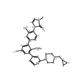 COc1c(-c2ccnc(N3CCN(CC4CC4)CC3)c2)cc(F)cc1-c1ccc(-n2ccn(C)c2=O)c(Cl)c1